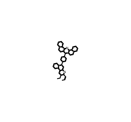 C/C=C\c1nc2cc(-c3ccc(-c4c5ccc6ccccc6c5nc5c4ccc4ccccc45)cc3)c3ccccc3c2cc1CC